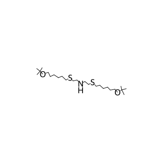 CC(C)(C)OCCCCCCSCCNCCSCCCCCCOC(C)(C)C